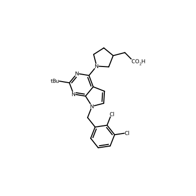 CC(C)(C)c1nc(N2CCC(CC(=O)O)C2)c2ccn(Cc3cccc(Cl)c3Cl)c2n1